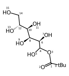 CC(C)(C)C(=O)OC(O)[C@H](O)[C@@H](O)[C@H](O)[C@H](O)CO